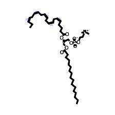 CC/C=C\C/C=C\C/C=C\C/C=C\C/C=C\CCCC(=O)O[C@H](COC(=O)CCCCCCCCCCCCCCCC)COP(=O)([O-])OCC[N+](C)(C)C